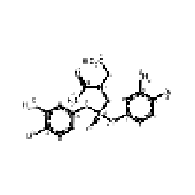 CCOC(=O)CN(CP(=O)(Sc1ccc(Br)c(C)c1)Sc1ccc(Br)c(C)c1)C(=O)C(F)(F)F